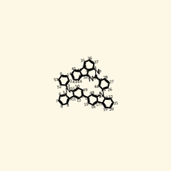 c1ccc(-n2c3ccccc3c3cc(-c4ccc5c6ccccc6n(-c6cccc(-c7nc8c9c(cccc9n7)-c7ccccc7-8)c6)c5c4)ccc32)cc1